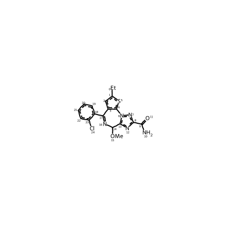 CCc1cc2c(s1)-n1nc(C(N)=O)nc1C(OC)N=C2c1ccccc1Cl